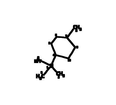 CCC[Si](C)(C)C1CCC(C)CC1